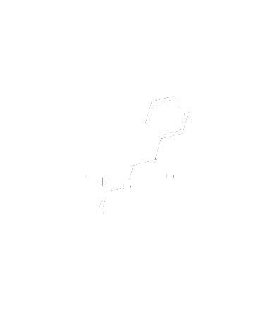 O=C(CO[SH](=O)=O)c1ccccc1